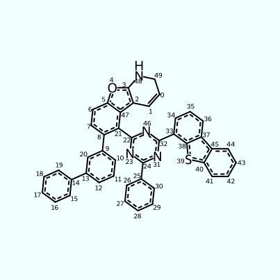 C1=Cc2c(oc3ccc(-c4cccc(-c5ccccc5)c4)c(-c4nc(-c5ccccc5)nc(-c5cccc6c5sc5ccccc56)n4)c23)NC1